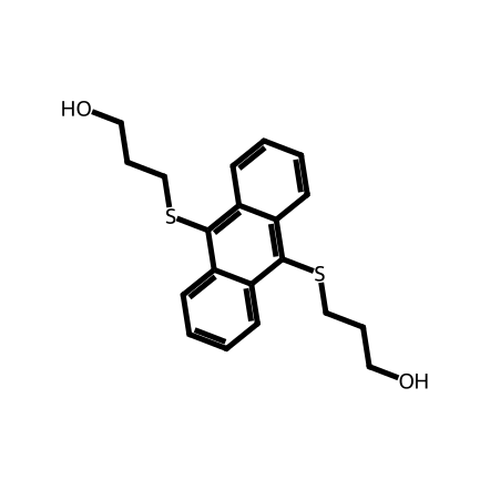 OCCCSc1c2ccccc2c(SCCCO)c2ccccc12